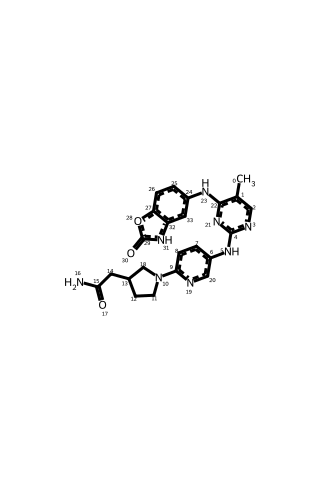 Cc1cnc(Nc2ccc(N3CCC(CC(N)=O)C3)nc2)nc1Nc1ccc2oc(=O)[nH]c2c1